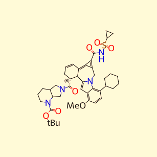 COc1ccc(C2CCCCC2)c2c1cc1n2CC2=C(C(=O)NS(=O)(=O)C3CC3)C2=C2C=CC[C@@H](C(=O)N3CC4CCCN(C(=O)OC(C)(C)C)C4C3)C21